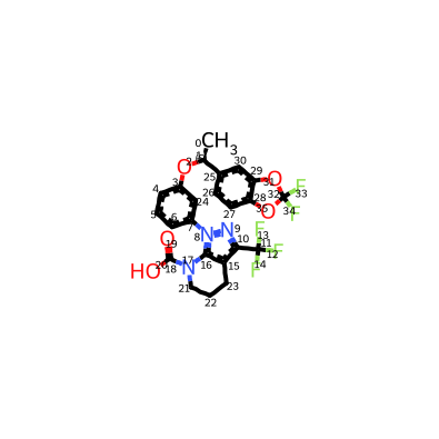 C[C@H](Oc1cccc(-n2nc(C(F)(F)F)c3c2N(C(=O)O)CCC3)c1)c1ccc2c(c1)OC(F)(F)O2